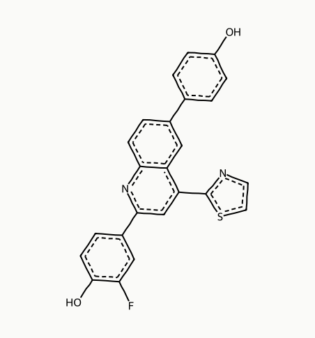 Oc1ccc(-c2ccc3nc(-c4ccc(O)c(F)c4)cc(-c4nccs4)c3c2)cc1